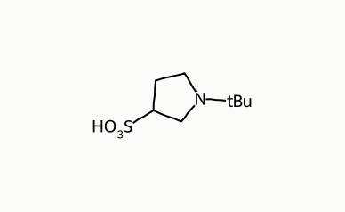 CC(C)(C)N1CCC(S(=O)(=O)O)C1